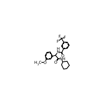 COc1cccc(C(NC(=O)c2cccc(C(F)(F)F)c2)C(=O)NC2CCCCC2)c1